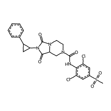 CS(=O)(=O)c1cc(Cl)c(NC(=O)N2CCN3C(=O)N(C4CC4c4ccccc4)C(=O)C3C2)c(Cl)c1